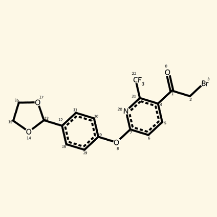 O=C(CBr)c1ccc(Oc2ccc(C3OCCO3)cc2)nc1C(F)(F)F